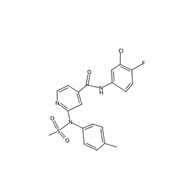 Cc1ccc(N(c2cc(C(=O)Nc3ccc(F)c(Cl)c3)ccn2)S(C)(=O)=O)cc1